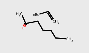 C=CCCCC.CCCCCC(C)=O